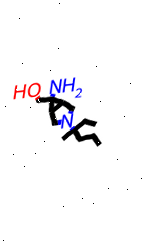 CCCC(C)(CC)N1CC2C(C1)C2(N)CO